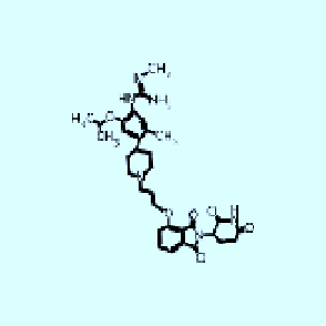 C/N=C(\N)Nc1cc(C)c(C2CCN(CCCOc3cccc4c3C(=O)N(C3CCC(=O)NC3=O)C4=O)CC2)cc1OC(C)C